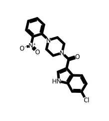 O=C(c1c[nH]c2cc(Cl)ccc12)N1CCN(c2ccccc2[N+](=O)[O-])CC1